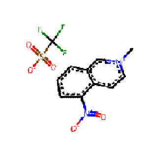 C[n+]1ccc2c([N+](=O)[O-])cccc2c1.O=S(=O)([O-])C(F)(F)F